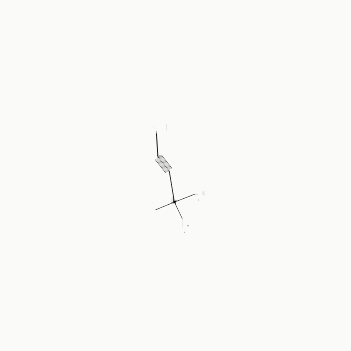 CC#CC(Br)(Br)Br